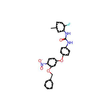 Cc1ccc(F)c(NC(=O)Nc2ccc(Oc3ccc([N+](=O)[O-])c(OCc4ccccc4)c3)cc2)c1